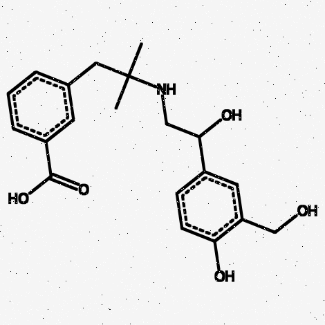 CC(C)(Cc1cccc(C(=O)O)c1)NCC(O)c1ccc(O)c(CO)c1